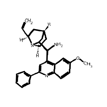 C=C[C@H]1C[C@@H]2CC[N@]1[C@H](C(N)c1cc(-c3ccccc3)nc3ccc(OC)cc13)C2